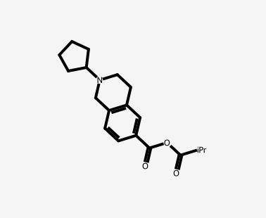 CC(C)C(=O)OC(=O)c1ccc2c(c1)CCN(C1CCCC1)C2